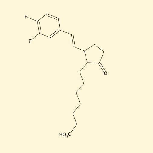 O=C(O)CCCCCCC1C(=O)CCC1C=Cc1ccc(F)c(F)c1